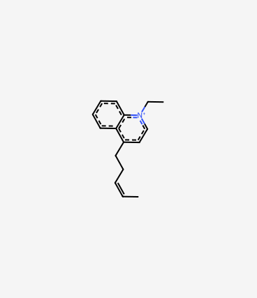 C/C=C\CCc1cc[n+](CC)c2ccccc12